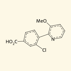 COc1cccnc1-c1ccc(C(=O)O)cc1Cl